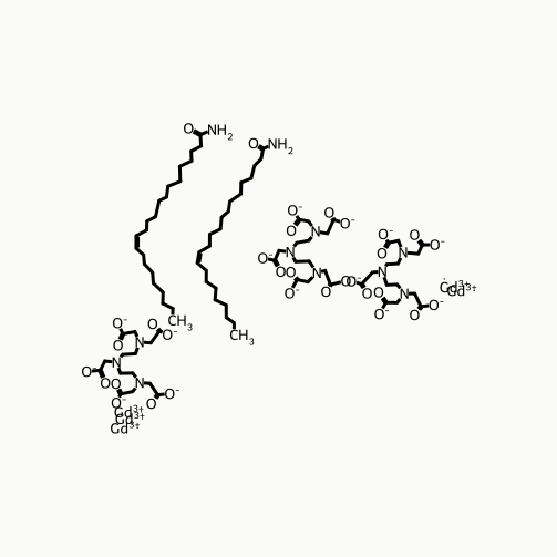 CCCCCCCC/C=C\CCCCCCCCCCCC(N)=O.CCCCCCCC/C=C\CCCCCCCCCCCC(N)=O.O=C([O-])CN(CCN(CC(=O)[O-])CC(=O)[O-])CCN(CC(=O)[O-])CC(=O)[O-].O=C([O-])CN(CCN(CC(=O)[O-])CC(=O)[O-])CCN(CC(=O)[O-])CC(=O)[O-].O=C([O-])CN(CCN(CC(=O)[O-])CC(=O)[O-])CCN(CC(=O)[O-])CC(=O)[O-].[Gd+3].[Gd+3].[Gd+3].[Gd+3].[Gd+3]